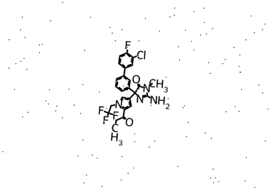 CCC(=O)c1cc(C2(c3cccc(-c4ccc(F)c(Cl)c4)c3)N=C(N)N(C)C2=O)cn1CC(F)(F)F